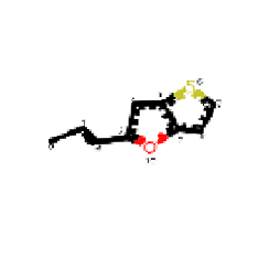 C/C=C/c1cc2sccc2o1